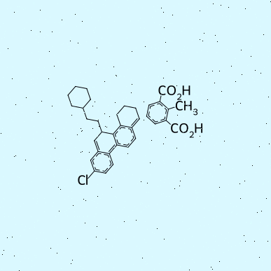 Cc1c(C(=O)O)cccc1C(=O)O.Clc1ccc2c(c1)=CC(CCC1CCCCC1)c1c3c(ccc1=2)=CCCC3